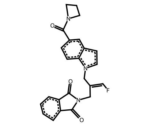 O=C(c1ccc2c(ccn2CC(=CF)CN2C(=O)c3ccccc3C2=O)c1)N1CCC1